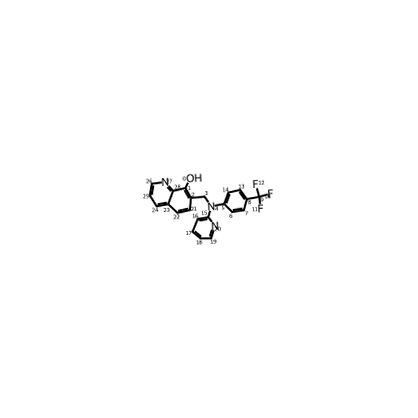 Oc1c(CN(c2ccc(C(F)(F)F)cc2)c2ccccn2)ccc2cccnc12